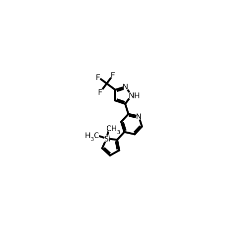 C[Si]1(C)C=CC=C1c1ccnc(-c2cc(C(F)(F)F)n[nH]2)c1